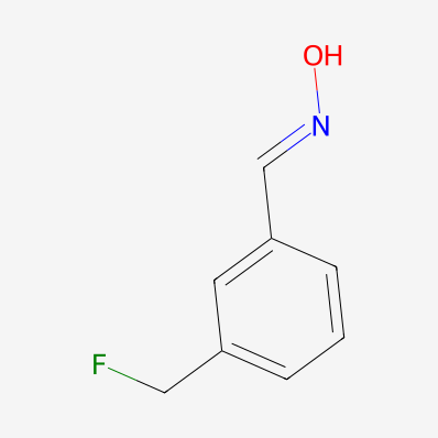 O/N=C/c1cccc(CF)c1